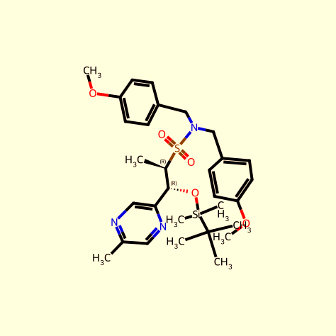 COc1ccc(CN(Cc2ccc(OC)cc2)S(=O)(=O)[C@H](C)[C@H](O[Si](C)(C)C(C)(C)C)c2cnc(C)cn2)cc1